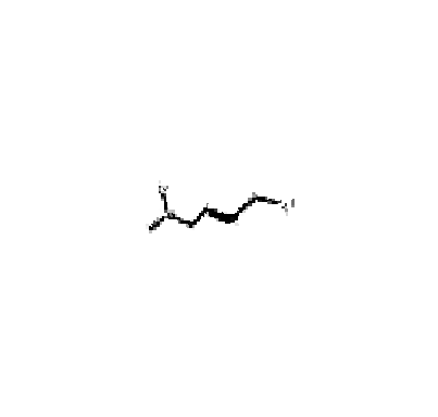 C[S+]([O-])C/C=C/CS